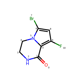 O=C1NCCn2c(Br)cc(F)c21